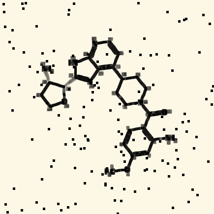 Nc1cc(OC(F)(F)F)ccc1C(=O)N1CCC(c2ccnc3[nH]c([C@@H]4OCC[C@@H]4N)nc23)CC1